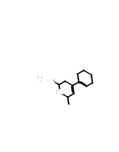 COC1CC(C2=CCCCC2)=CC(C)N1